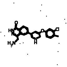 Cc1ccc(OC2=CC(c3ccc4c(=O)[nH]nc(CN)c4c3)=CNC2)cc1Cl